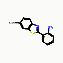 COc1ccc2nc(-c3ccccc3N)sc2c1